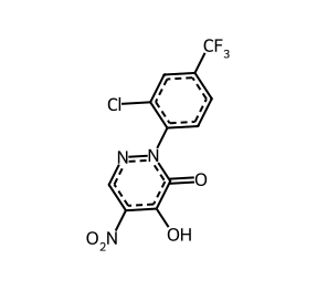 O=c1c(O)c([N+](=O)[O-])cnn1-c1ccc(C(F)(F)F)cc1Cl